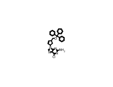 Nc1nc(Cl)c2ncn(C3C=CC(COC(c4ccccc4)(c4ccccc4)c4ccccc4)C3)c2n1